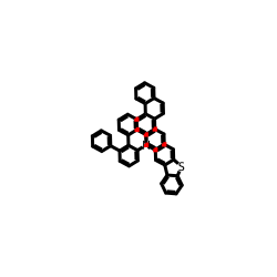 c1ccc(-c2ccccc2-c2c(-c3ccccc3)cccc2N(c2ccc3c(ccc4ccccc43)c2)c2ccc3sc4ccccc4c3c2)cc1